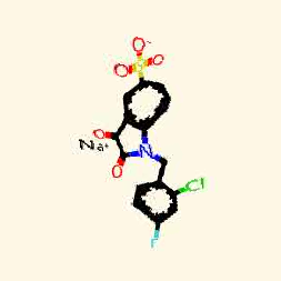 O=C1C(=O)N(Cc2ccc(F)cc2Cl)c2ccc(S(=O)(=O)[O-])cc21.[Na+]